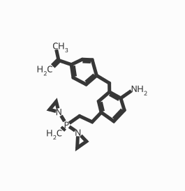 C=C(C)c1ccc(Cc2cc(CCP(=C)(N3CC3)N3CC3)ccc2N)cc1